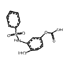 O=C(O)Oc1ccc(O)c(NS(=O)(=O)c2ccccc2)c1